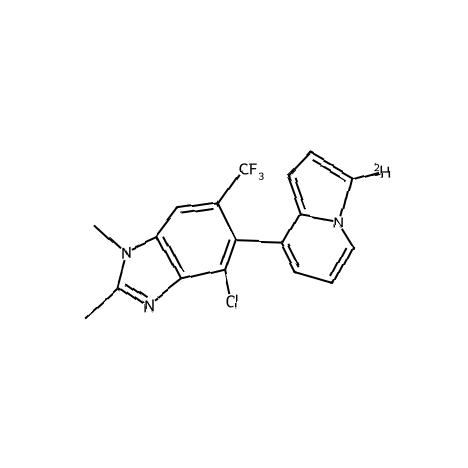 [2H]c1ccc2c(-c3c(C(F)(F)F)cc4c(nc(C)n4C)c3Cl)cccn12